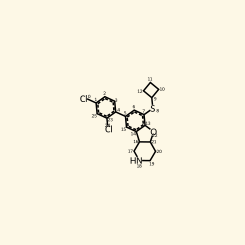 Clc1ccc(-c2cc(SC3CCC3)c3c(c2)C2CNCCC2O3)c(Cl)c1